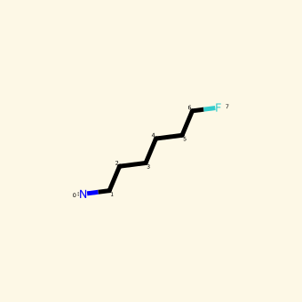 [N]CCCCCCF